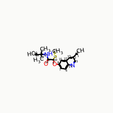 C#Cc1cnc2ccc(OC(SC)C(=O)NC(C)(C)C#C)cc2c1